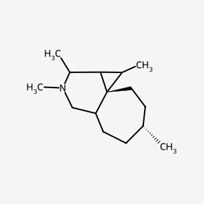 CC1C2C(C)[C@@]23CC[C@H](C)CCC3CN1C